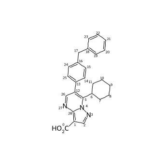 O=C(O)c1cnn2c(C3CCCCC3)c(-c3ccc(Cc4ccccc4)cc3)cnc12